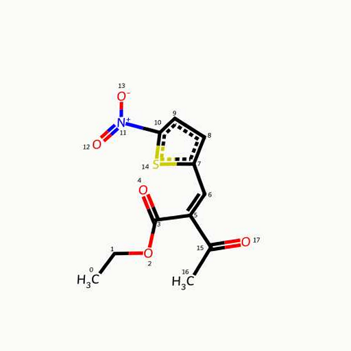 CCOC(=O)C(=Cc1ccc([N+](=O)[O-])s1)C(C)=O